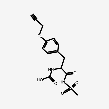 C#CCOc1ccc(CC(NC(=O)O)C(=O)NS(C)(=O)=O)cc1